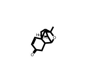 CC12CC34C=CC(=O)CC3C(O1)[C@@H](Cl)C2C4